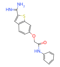 N=C(N)c1cc2ccc(OCC(=O)Nc3ccccc3)cc2s1